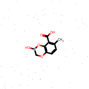 Cc1ccc2c(c1C(=O)O)OB(O)CO2